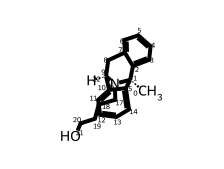 C[C@]12c3ccccc3C[C@H](c3ccccc31)N2CCCCO